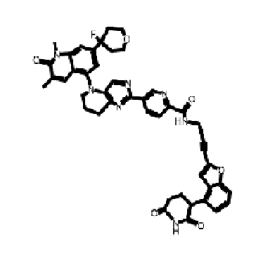 Cc1cc2c(N3CCCc4nc(-c5ccc(C(=O)NCC#Cc6cc7c(C8CCC(=O)NC8=O)cccc7o6)nc5)ncc43)cc(C3(F)CCOCC3)cc2n(C)c1=O